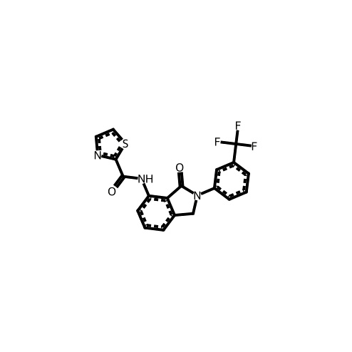 O=C(Nc1cccc2c1C(=O)N(c1cccc(C(F)(F)F)c1)C2)c1nccs1